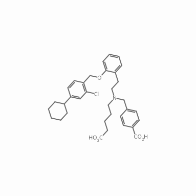 O=C(O)CCCCN(CCc1ccccc1OCc1ccc(C2CCCCC2)cc1Cl)Cc1ccc(C(=O)O)cc1